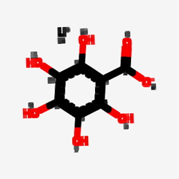 O=C([O-])c1c(O)c(O)c(O)c(O)c1O.[Li+]